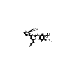 CCCc1cc(N2CCCC2C)nc(Nc2ccc(N)c(C#N)c2)n1.Cl